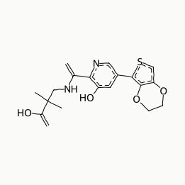 C=C(NCC(C)(C)C(=C)O)c1ncc(-c2scc3c2OCCO3)cc1O